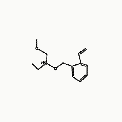 C=Cc1ccccc1CO[SiH](CC)COC